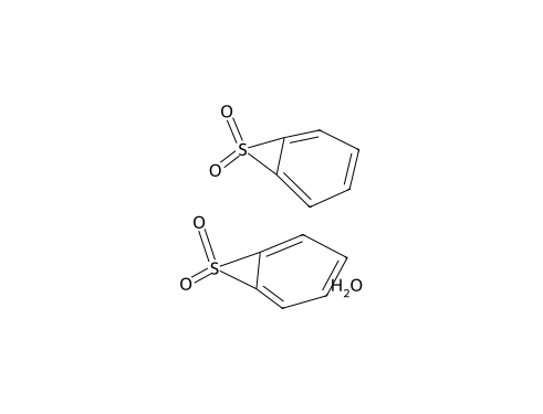 O.O=S1(=O)c2ccccc21.O=S1(=O)c2ccccc21